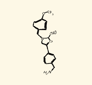 NCc1ccc(C2CN(Cc3ccc(OC(F)(F)F)cc3)C(C=O)O2)cc1